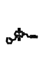 COCCN1C[C@H]2CCN(Cc3ccccc3)[C@H]2C1